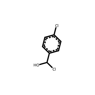 OC(Cl)c1ccc(Cl)cc1